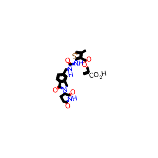 C=C(COC(=O)c1c(C)csc1NC(=O)NCc1ccc2c(c1)CN(C1CCC(=O)NC1=O)C2=O)C(=O)O